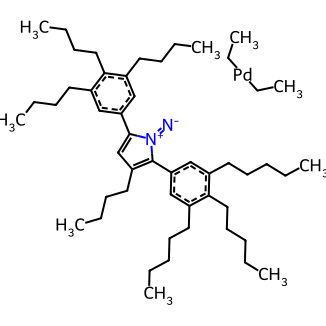 CCCCCc1cc(C2=C(CCCC)C=C(c3cc(CCCC)c(CCCC)c(CCCC)c3)[N+]2=[N-])cc(CCCCC)c1CCCCC.C[CH2][Pd][CH2]C